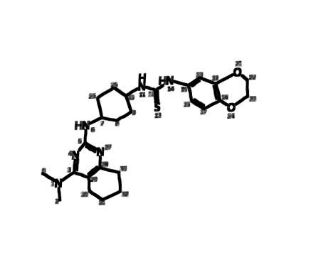 CN(C)c1nc(NC2CCC(NC(=S)Nc3ccc4c(c3)OCCO4)CC2)nc2c1CCCC2